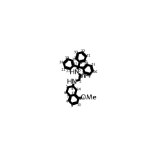 CCCC(CNC1CCc2cccc(OC)c2C1)NC(c1ccccc1)(c1ccccc1)c1ccccc1